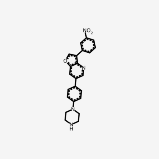 O=[N+]([O-])c1cccc(-c2coc3cc(-c4ccc(N5CCNCC5)cc4)cnc23)c1